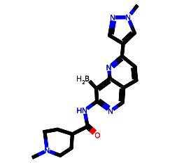 Bc1c(NC(=O)C2CCN(C)CC2)ncc2ccc(-c3cnn(C)c3)nc12